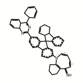 N=C1/C=C\C=C/N(c2ccc3c(c2)C2(c4cc(C5=NC6C=CC=CC6C(C6C=CC=CC6)=N5)ccc4-3)c3ccccc3C3CCC=CC32)C2=C1CCCC2